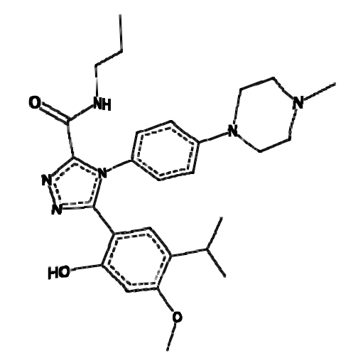 CCCNC(=O)c1nnc(-c2cc(C(C)C)c(OC)cc2O)n1-c1ccc(N2CCN(C)CC2)cc1